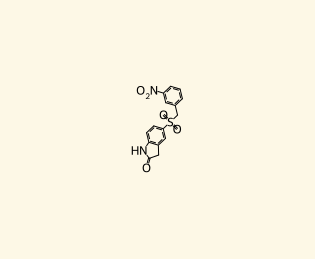 O=C1Cc2cc(S(=O)(=O)Cc3cccc([N+](=O)[O-])c3)ccc2N1